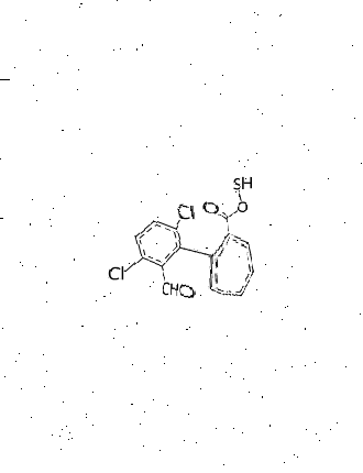 O=Cc1c(Cl)ccc(Cl)c1-c1ccccc1C(=O)OS